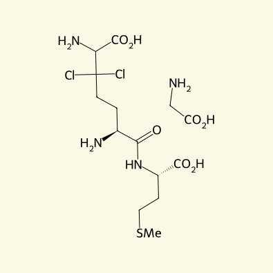 CSCC[C@H](NC(=O)[C@@H](N)CCC(Cl)(Cl)C(N)C(=O)O)C(=O)O.NCC(=O)O